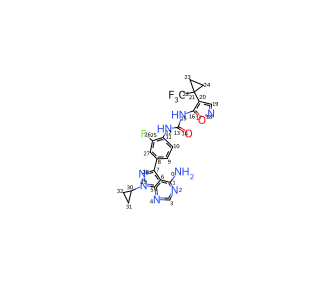 Nc1ncnc2c1c(-c1ccc(NC(=O)Nc3oncc3C3(C(F)(F)F)CC3)c(F)c1)nn2C1CC1